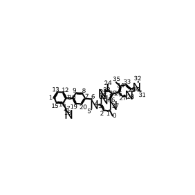 Cc1cc(N(C)Cc2ccc(-c3ccccc3C#N)cc2)n2nc(C)c(-c3cnc(N(C)C)cc3C)c2n1